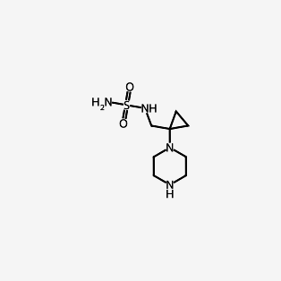 NS(=O)(=O)NCC1(N2CCNCC2)CC1